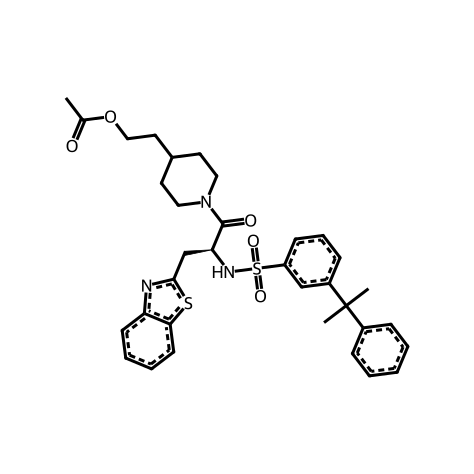 CC(=O)OCCC1CCN(C(=O)[C@H](Cc2nc3ccccc3s2)NS(=O)(=O)c2cccc(C(C)(C)c3ccccc3)c2)CC1